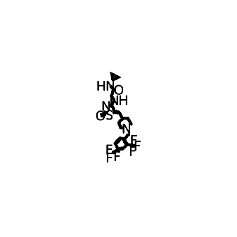 O=C(CNC1=NC(=O)S/C1=C\C1CCN(Cc2ccc(C(F)(F)F)cc2C(F)(F)F)CC1)NC1CC1